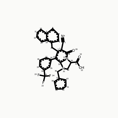 N#Cc1c(Cc2cccc3ccccc23)c(-c2cccc(C(F)(F)F)c2)c2n(c1=O)C(C(=O)O)CN2Cc1ccccc1